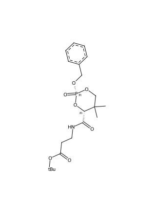 CC(C)(C)OC(=O)CCNC(=O)[C@@H]1O[P@](=O)(OCc2ccccc2)OCC1(C)C